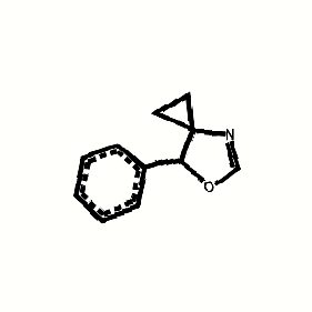 C1=NC2(CC2)C(c2ccccc2)O1